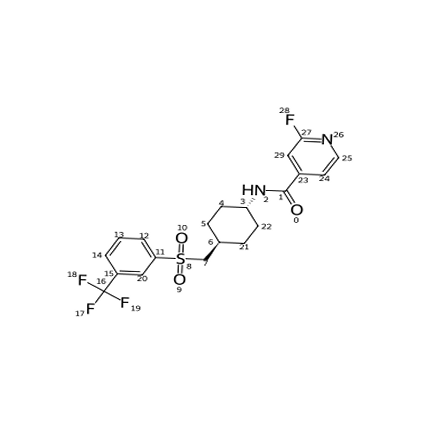 O=C(N[C@H]1CC[C@H](CS(=O)(=O)c2cccc(C(F)(F)F)c2)CC1)c1ccnc(F)c1